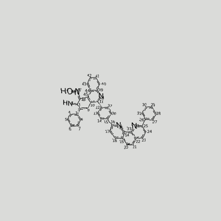 N=C1C(c2ccccc2)=Cc2c(-c3ccc(-c4ccc5ccc6ccc(-c7ccccc7)nc6c5n4)cc3)nc3ccccc3c2/C1=N/O